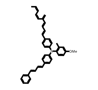 C=C(C=CC=Cc1ccc(N(c2ccc(C=CC=Cc3ccccc3)cc2)c2ccc(OC)cc2C)cc1)/C=C\C=C/C